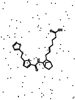 O=C(O)CCC/C=C/CC1C2CCC(C2)C1NC(=O)c1ccc(CSc2cccs2)s1